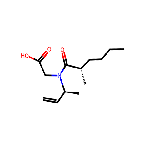 C=C[C@H](C)N(CC(=O)O)C(=O)[C@@H](C)CCCC